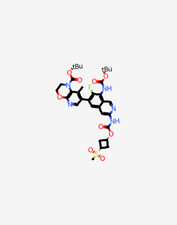 Cc1c(-c2cc3cc(NC(=O)O[C@H]4C[C@@H](S(C)(=O)=O)C4)ncc3c(NC(=O)OC(C)(C)C)c2F)cnc2c1N(C(=O)OC(C)(C)C)CCO2